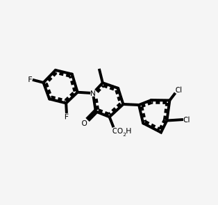 Cc1cc(-c2ccc(Cl)c(Cl)c2)c(C(=O)O)c(=O)n1-c1ccc(F)cc1F